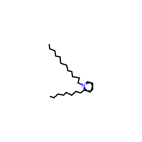 CCCCCCCCCCCC[n+]1ccccc1CCCCCCCC